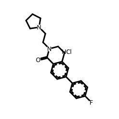 Cl.O=C1c2ccc(-c3ccc(F)cc3)cc2CCN1CCN1CCCC1